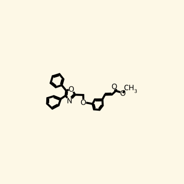 COC(=O)C=Cc1cccc(OCc2nc(-c3ccccc3)c(-c3ccccc3)o2)c1